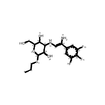 CCCSC1OC(CO)C(O)C(N/C=C(\N)c2cc(F)c(F)c(F)c2)C1O